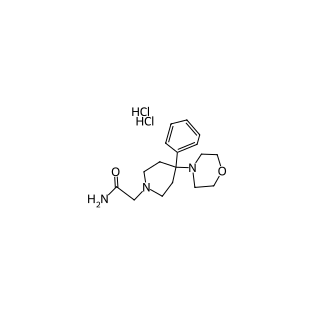 Cl.Cl.NC(=O)CN1CCC(c2ccccc2)(N2CCOCC2)CC1